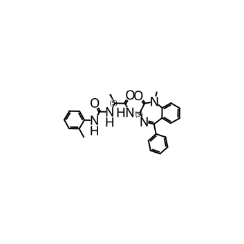 Cc1ccccc1NC(=O)N[C@@H](C)C(=O)N[C@H]1N=C(c2ccccc2)c2ccccc2N(C)C1=O